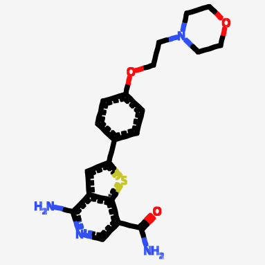 NC(=O)c1cnc(N)c2cc(-c3ccc(OCCN4CCOCC4)cc3)sc12